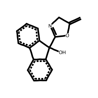 C=C1CN=C(C2(O)c3ccccc3-c3ccccc32)O1